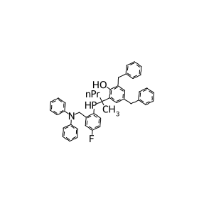 CCCC(C)(Pc1ccc(F)cc1CN(c1ccccc1)c1ccccc1)c1cc(Cc2ccccc2)cc(Cc2ccccc2)c1O